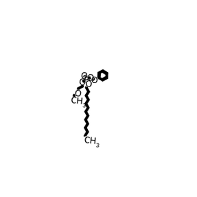 CCCCCCCCCCCCCCOP(=O)(OCCOCC)OOc1ccccc1